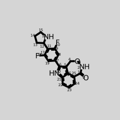 O=C1NOCc2c(-c3cc(F)c(C4CCCN4)c(F)c3)[nH]c3cccc1c23